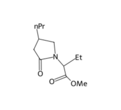 CCCC1CC(=O)N(C(CC)C(=O)OC)C1